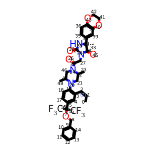 C/C=C\c1cc(C(OCc2ccccc2)(C(F)(F)F)C(F)(F)F)ccc1N1CC(C)N(C(=O)CN2C(=O)N[C@@](C)(c3ccc4c(c3)OCCO4)C2=O)CC1C